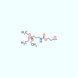 CCO[Si](CCCNC(=O)OCCC1CO1)(OCC)OCC